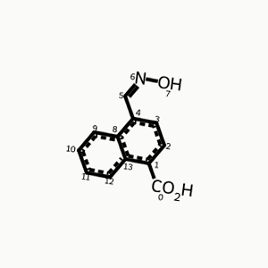 O=C(O)c1ccc(/C=N\O)c2ccccc12